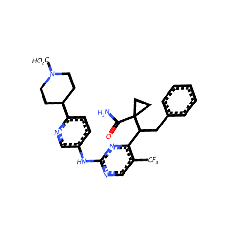 NC(=O)C1(C(Cc2ccccc2)c2nc(Nc3ccc(C4CCN(C(=O)O)CC4)nc3)ncc2C(F)(F)F)CC1